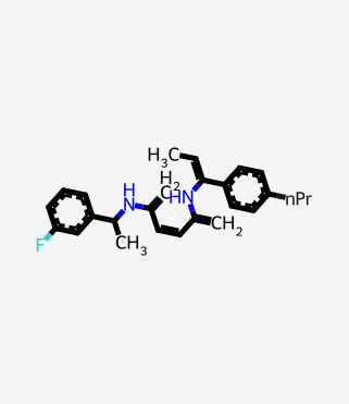 C=C(/C=C\C(=C)NC(C)c1cccc(F)c1)N/C(=C\C)c1ccc(CCC)cc1